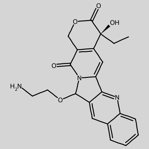 CC[C@@]1(O)C(=O)OCc2c1cc1n(c2=O)C(OCCN)c2cc3ccccc3nc2-1